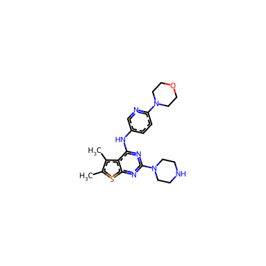 Cc1sc2nc(N3CCNCC3)nc(Nc3ccc(N4CCOCC4)nc3)c2c1C